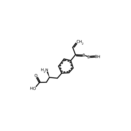 B=B/B=C(\C=C)c1ccc(C[C@H](N)CC(=O)O)cc1